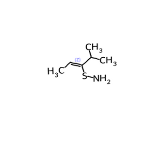 C/C=C(\SN)C(C)C